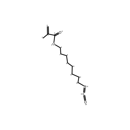 C=C(C)C(=O)OCCCCCCCCN=C=O